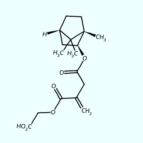 C=C(CC(=O)O[C@H]1C[C@@H]2CC[C@@]1(C)C2(C)C)C(=O)OCC(=O)O